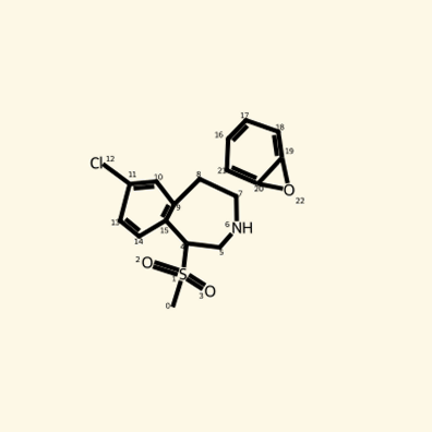 CS(=O)(=O)C1CNCCc2cc(Cl)ccc21.c1ccc2c(c1)O2